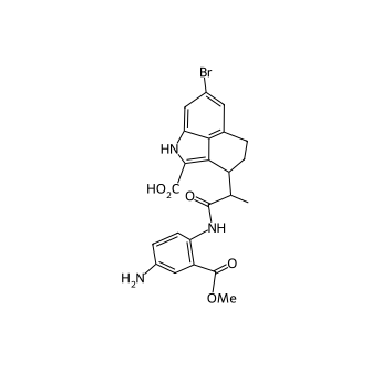 COC(=O)c1cc(N)ccc1NC(=O)C(C)C1CCc2cc(Br)cc3[nH]c(C(=O)O)c1c23